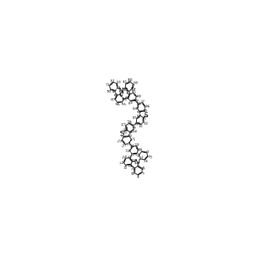 C1=CCC(n2c3ccccc3c3cccc(-c4cccc(-c5ccc6sc7ccc(-c8ccc9sc%10ccc(-c%11cccc(-c%12cccc%13c%14ccccc%14n(-c%14ccccc%14)c%12%13)c%11)cc%10c9c8)cc7c6c5)c4)c32)C=C1